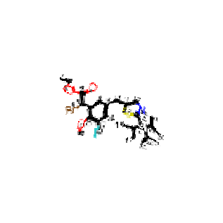 CCOC(=O)C(Br)c1cc(Cc2cnc([Si](C(C)C)(C(C)C)C(C)C)s2)cc(F)c1OC